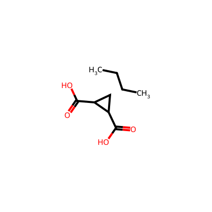 CCCC.O=C(O)C1CC1C(=O)O